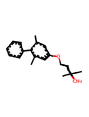 Cc1cc(OCCC(C)(C)O)cc(C)c1-c1ccccc1